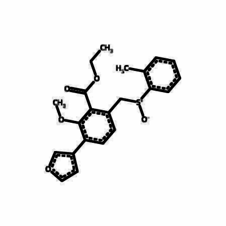 CCOC(=O)c1c(C[S+]([O-])c2ccccc2C)ccc(-c2ccoc2)c1OC